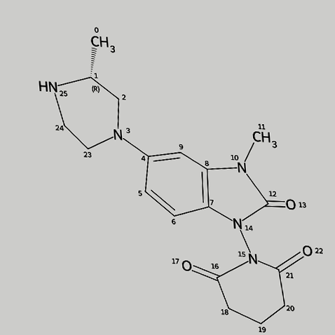 C[C@@H]1CN(c2ccc3c(c2)n(C)c(=O)n3N2C(=O)CCCC2=O)CCN1